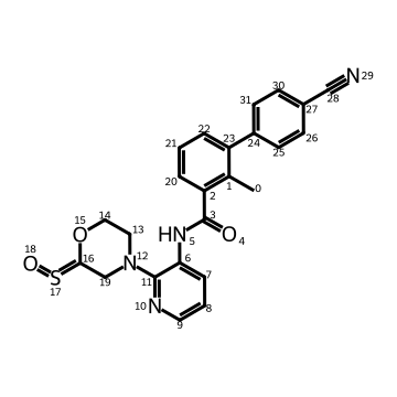 Cc1c(C(=O)Nc2cccnc2N2CCOC(=S=O)C2)cccc1-c1ccc(C#N)cc1